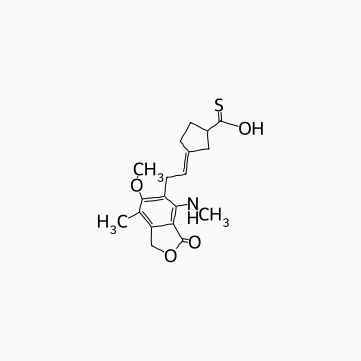 CNc1c(CC=C2CCC(C(O)=S)C2)c(OC)c(C)c2c1C(=O)OC2